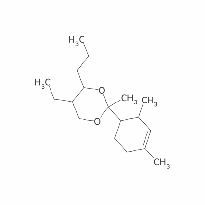 CCCC1OC(C)(C2CCC(C)=CC2C)OCC1CC